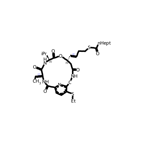 C/C=C1\NC(=O)c2ccc(SCC)c(n2)CNC(=O)C[C@@H](/C=C/CCSC(=O)CCCCCCC)OC(=O)[C@H](C(C)C)NC1=O